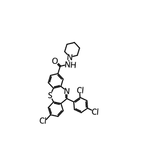 O=C(NN1CCCCC1)c1ccc2c(c1)N=C(c1ccc(Cl)cc1Cl)c1ccc(Cl)cc1S2